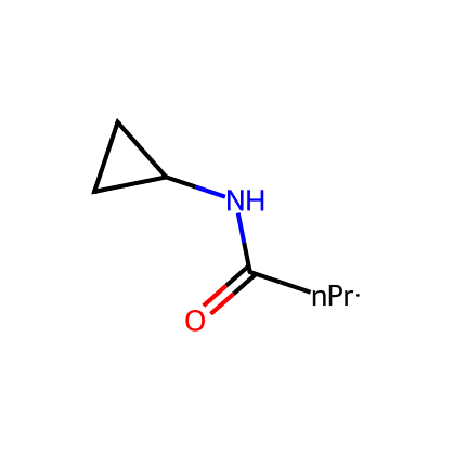 CC[CH]C(=O)NC1CC1